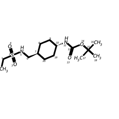 CCS(=O)(=O)NC[C@H]1CC[C@H](NC(=O)OC(C)(C)C)CC1